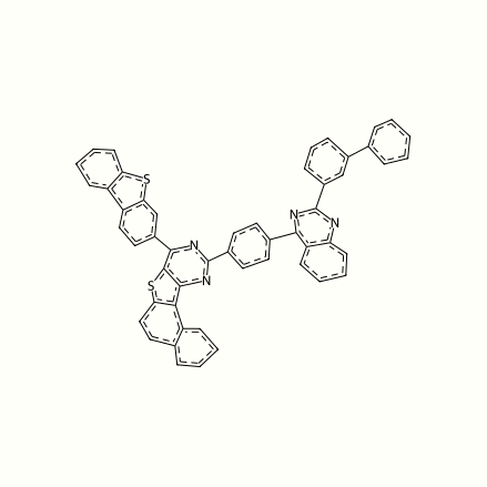 c1ccc(-c2cccc(-c3nc(-c4ccc(-c5nc(-c6ccc7c(c6)sc6ccccc67)c6sc7ccc8ccccc8c7c6n5)cc4)c4ccccc4n3)c2)cc1